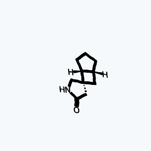 O=C1C[C@@]2(CN1)C[C@H]1CCC[C@H]12